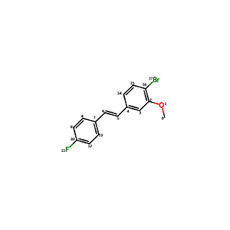 COc1cc(/C=C/c2ccc(F)cc2)ccc1Br